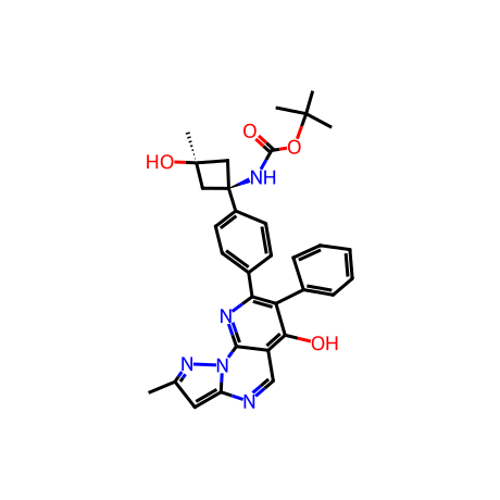 Cc1cc2ncc3c(O)c(-c4ccccc4)c(-c4ccc([C@]5(NC(=O)OC(C)(C)C)C[C@@](C)(O)C5)cc4)nc3n2n1